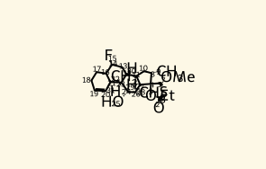 CCC(=O)O[C@]1(C(=S)OC)[C@@H](C)C[C@H]2[C@@H]3C[C@H](F)C4CCC=C[C@]4(C)[C@H]3[C@@H](O)C[C@@]21C